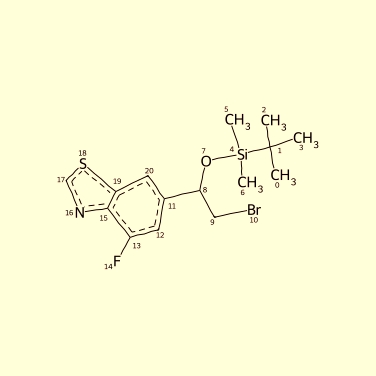 CC(C)(C)[Si](C)(C)OC(CBr)c1cc(F)c2ncsc2c1